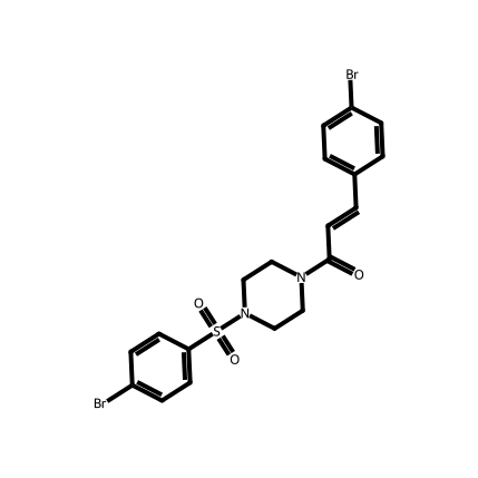 O=C(/C=C/c1ccc(Br)cc1)N1CCN(S(=O)(=O)c2ccc(Br)cc2)CC1